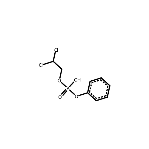 O=P(O)(OCC(Cl)Cl)Oc1ccccc1